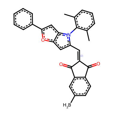 Bc1ccc2c(c1)C(=O)/C(=C\c1cc3oc(-c4ccccc4)cc3n1-c1c(C)cccc1C)C2=O